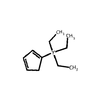 C[CH2][Y]([CH2]C)([CH2]C)[C]1=CC=CC1